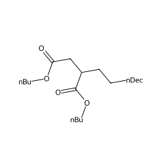 CCCCCCCCCCCCC(CC(=O)OCCCC)C(=O)OCCCC